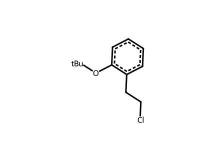 CC(C)(C)Oc1ccccc1CCCl